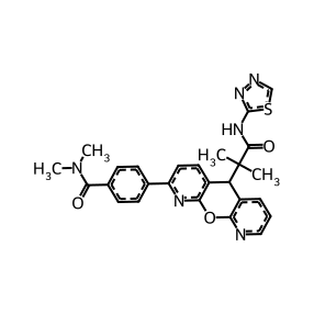 CN(C)C(=O)c1ccc(-c2ccc3c(n2)Oc2ncccc2C3C(C)(C)C(=O)Nc2nncs2)cc1